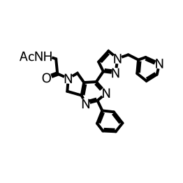 CC(=O)NCC(=O)N1Cc2nc(-c3ccccc3)nc(-c3ccn(Cc4cccnc4)n3)c2C1